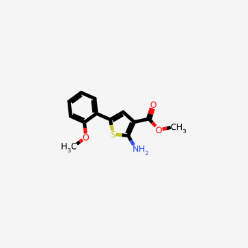 COC(=O)c1cc(-c2ccccc2OC)sc1N